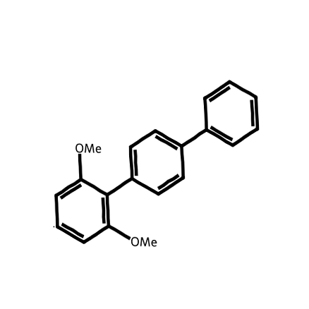 COc1c[c]cc(OC)c1-c1ccc(-c2ccccc2)cc1